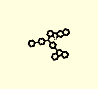 c1ccc(-c2ccc(C(c3ccc(-c4cc5ccccc5c5ccccc45)cc3)c3cccc4c3oc3cc5ccccc5cc34)cc2)cc1